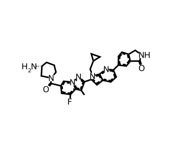 Cc1c(-c2cc3ccc(-c4ccc5c(c4)C(=O)NC5)nc3n2CC2CC2)nn2cc(C(=O)N3CCC[C@@H](N)C3)cc(F)c12